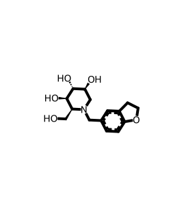 OC[C@H]1[C@@H](O)[C@H](O)[C@@H](O)CN1Cc1ccc2c(c1)CCO2